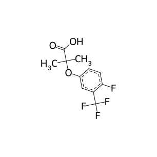 CC(C)(Oc1ccc(F)c(C(F)(F)F)c1)C(=O)O